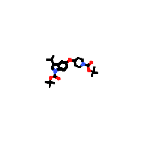 CC(C)c1cn(C(=O)OC(C)(C)C)c2ccc(OC3CCN(C(=O)OC(C)(C)C)CC3)cc12